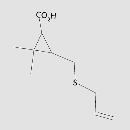 C=CCSCC1C(C(=O)O)C1(C)C